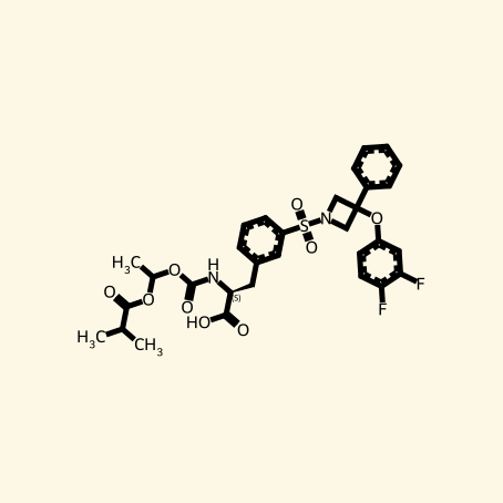 CC(OC(=O)N[C@@H](Cc1cccc(S(=O)(=O)N2CC(Oc3ccc(F)c(F)c3)(c3ccccc3)C2)c1)C(=O)O)OC(=O)C(C)C